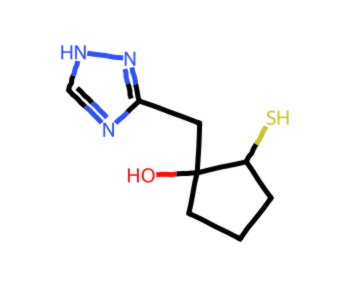 OC1(Cc2nc[nH]n2)CCCC1S